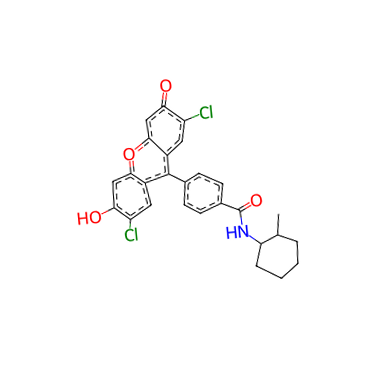 CC1CCCCC1NC(=O)c1ccc(-c2c3cc(Cl)c(=O)cc-3oc3cc(O)c(Cl)cc23)cc1